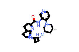 C[C@@H]1C[C@H](N)CN(c2ccncc2NC(=O)c2ccc3ccn(C4=CC=C4)c3n2)C1